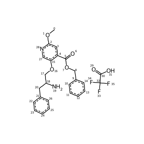 COc1cc(C(=O)OCc2ccccc2)c(OCC(N)Cc2ccccc2)cn1.O=C(O)C(F)(F)F